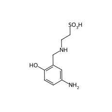 Nc1ccc(O)c(CNCCS(=O)(=O)O)c1